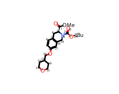 COC(=O)[C@@H]1Cc2ccc(OCC3CCOCC3)cc2CN1C(=O)OC(C)(C)C